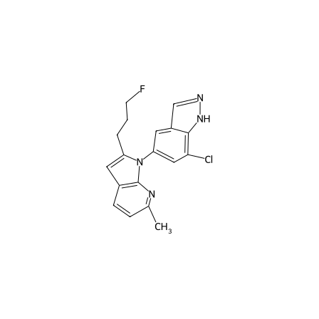 Cc1ccc2cc(CCCF)n(-c3cc(Cl)c4[nH]ncc4c3)c2n1